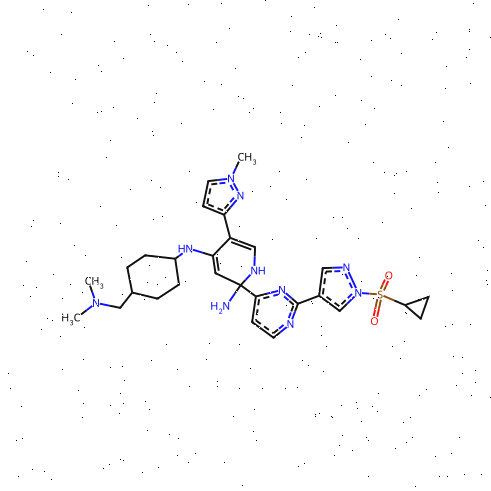 CN(C)CC1CCC(NC2=CC(N)(c3ccnc(-c4cnn(S(=O)(=O)C5CC5)c4)n3)NC=C2c2ccn(C)n2)CC1